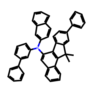 CC1(C)c2cc(-c3ccccc3)ccc2-c2c(N(c3cccc(-c4ccccc4)c3)c3ccc4ccccc4c3)cc3ccccc3c21